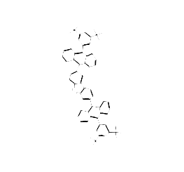 CC(C)(C)c1cc(-c2c3ccccc3c(-c3ccc4c(c3)sc3ccc(-c5c6ccccc6c(-c6cc(C(C)(C)C)cc(C(C)(C)C)c6)c6ccccc56)cc34)c3ccccc23)cc(C(C)(C)C)c1